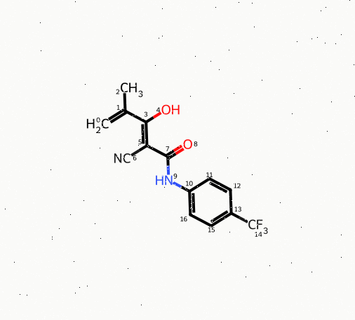 C=C(C)/C(O)=C(\C#N)C(=O)Nc1ccc(C(F)(F)F)cc1